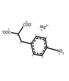 O=C([O-])C(Cc1ccc([N+](=O)[O-])cc1)C(=O)[O-].[Mg+2]